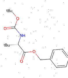 CC(C)(C)OC(=O)N[C@H](C(=O)OCc1ccccc1)C(C)(C)C